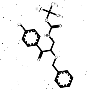 CC(C)(C)OC(=O)NCC(OCc1ccccc1)C(=O)c1ccc(Cl)cc1